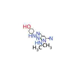 CC(C)Nc1nc(C#N)cc2cnc(NC3CCC(O)CC3)nc12